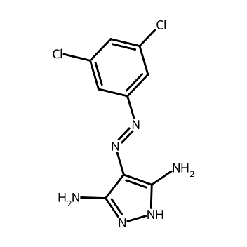 Nc1n[nH]c(N)c1N=Nc1cc(Cl)cc(Cl)c1